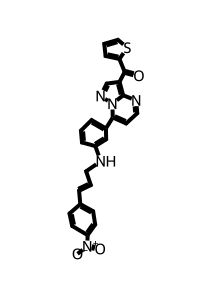 O=C(c1cccs1)c1cnn2c(-c3cccc(NCC=Cc4ccc([N+](=O)[O-])cc4)c3)ccnc12